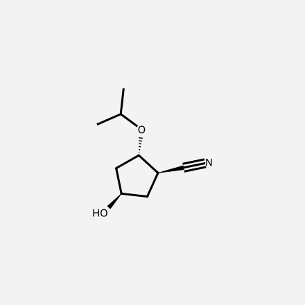 CC(C)O[C@H]1C[C@H](O)C[C@@H]1C#N